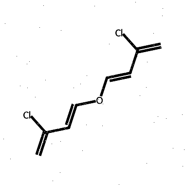 C=C(Cl)C=COC=CC(=C)Cl